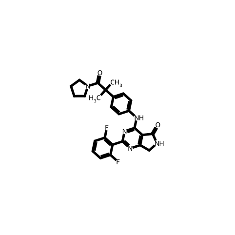 CC(C)(C(=O)N1CCCC1)c1ccc(Nc2nc(-c3c(F)cccc3F)nc3c2C(=O)NC3)cc1